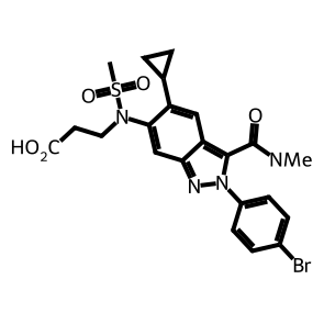 CNC(=O)c1c2cc(C3CC3)c(N(CCC(=O)O)S(C)(=O)=O)cc2nn1-c1ccc(Br)cc1